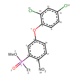 CCP(=O)(OC)c1cc(Oc2ccc(Cl)cc2Cl)ccc1[N+](=O)[O-]